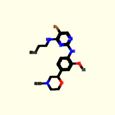 CCOc1cc(C2CN(C=O)CCO2)ccc1Nc1ncc(Br)c(NCCOC)n1